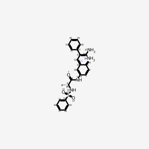 C=c1ccc(NC(=O)[C@@H](C)NS(=O)(=O)c2ccccc2)c/c1=C/C(=C(N)N)c1ccccc1